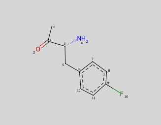 CC(=O)[C@H](N)Cc1ccc(F)cc1